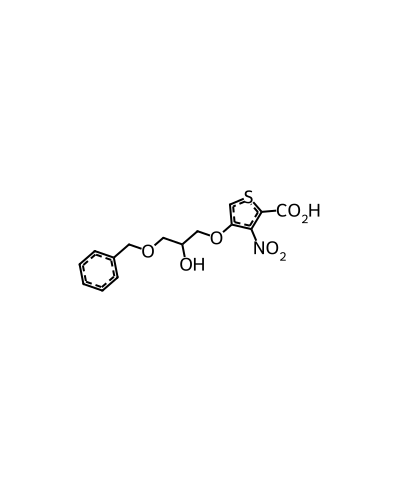 O=C(O)c1scc(OCC(O)COCc2ccccc2)c1[N+](=O)[O-]